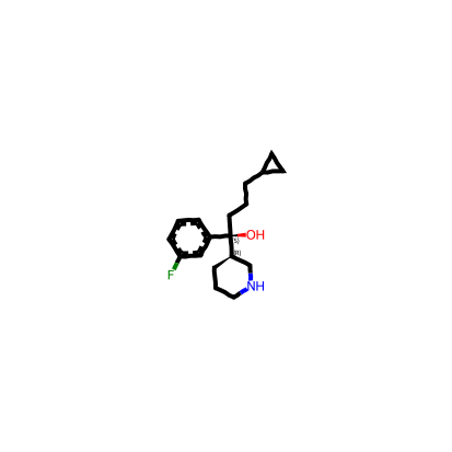 O[C@](CCCC1CC1)(c1cccc(F)c1)[C@@H]1CCCNC1